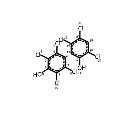 Oc1c(Cl)c(Cl)cc(Cl)c1Cl.Oc1cc(Cl)c(Cl)cc1Cl